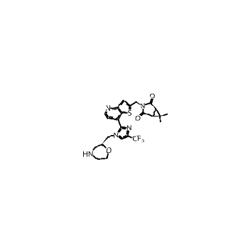 CC1(C)C2C(=O)N(Cc3cc4nccc(-c5nc(C(F)(F)F)cn5C[C@@H]5CNCCO5)c4s3)C(=O)C21